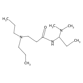 CCCN(CCC)CCC(=O)NC(CC)N(C)C